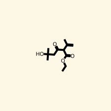 C=C(C)C(C(=O)CC(C)(C)O)C(=O)OCC